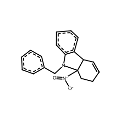 O=[N+]([O-])C12CCC=CC1c1ccccc1N2Cc1ccccc1